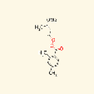 COC(C)C[CH]OOC(=O)c1ccc(C)cc1C